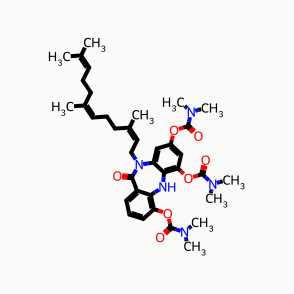 CC(C)=CCCC(C)=CCCC(C)=CCN1C(=O)c2cccc(OC(=O)N(C)C)c2Nc2c(OC(=O)N(C)C)cc(OC(=O)N(C)C)cc21